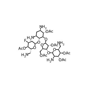 CC(=O)OC[C@H]1O[C@@H](O[C@@H]2[C@@H](OC(C)=O)[C@H](N)C[C@H](N)[C@H]2O[C@@H]2C[C@H](F)[C@H](OC(C)=O)[C@@H](CN)O2)[C@H](OC(C)=O)[C@@H]1O[C@H]1O[C@@H](CN)[C@@H](OC(C)=O)[C@H](OC(C)=O)[C@H]1N